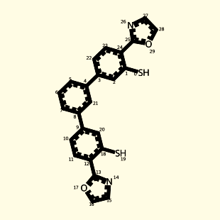 Sc1cc(-c2cccc(-c3ccc(-c4ncco4)c(S)c3)c2)ccc1-c1ncco1